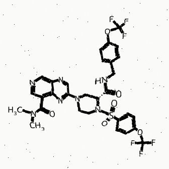 CN(C)C(=O)c1cncc2ncc(N3CCN(S(=O)(=O)c4ccc(OC(F)(F)F)cc4)[C@@H](C(=O)NCc4ccc(OC(F)(F)F)cc4)C3)nc12